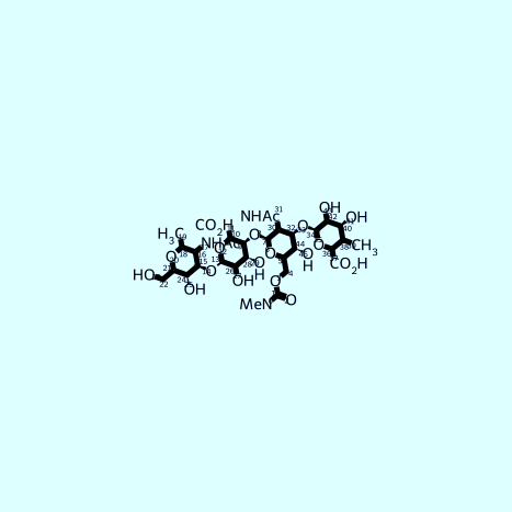 CNC(=O)OCC1O[C@@H](O[C@@H]2C(C(=O)O)O[C@@H](O[C@@H]3C(NC(C)=O)C(C)OC(CO)[C@H]3O)C(O)[C@H]2O)C(NC(C)=O)[C@@H](O[C@@H]2OC(C(=O)O)C(C)[C@H](O)C2O)[C@@H]1O